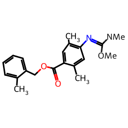 CN/C(=N/c1cc(C)c(C(=O)OCc2ccccc2C)cc1C)OC